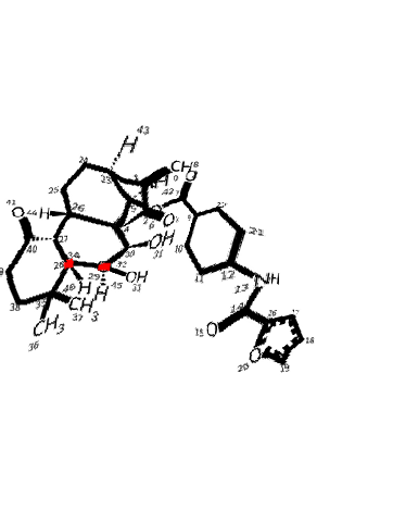 C=C1C(=O)[C@]23[C@H](OC(=O)C4CCC(NC(=O)c5ccco5)CC4)[C@H]1CC[C@H]2[C@@]12CO[C@]3(O)[C@@H](O)[C@@H]1C(C)(C)CCC2=O